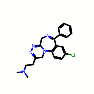 CN(C)CCC1=NN=C2CN=C(c3ccccc3)c3cc(Cl)ccc3N2C1